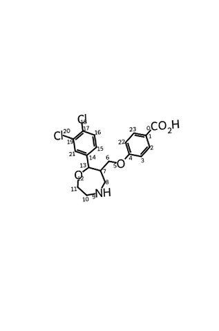 O=C(O)c1ccc(OCC2CNCCOC2c2ccc(Cl)c(Cl)c2)cc1